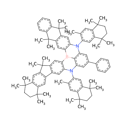 Cc1cc2c(cc1N1c3cc4c(cc3B3c5cc6c(cc5N(c5cc7c(cc5C)C(C)(C)CCC7(C)C)c5cc(-c7ccccc7)cc1c53)C(C)(C)c1ccccc1C6(C)C)C(C)(C)c1cc3c(cc1-4)C(C)(C)CCC3(C)C)C(C)(C)CCC2(C)C